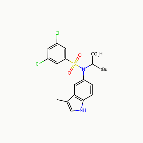 Cc1c[nH]c2ccc(N(C(C(=O)O)C(C)(C)C)S(=O)(=O)c3cc(Cl)cc(Cl)c3)cc12